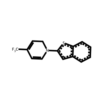 FC(F)(F)C1=CCN(c2cc3ccccc3s2)C=C1